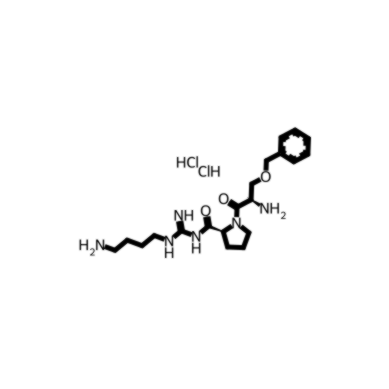 Cl.Cl.N=C(NCCCCN)NC(=O)[C@@H]1CCCN1C(=O)[C@H](N)COCc1ccccc1